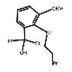 CCC(O)(CC)c1cccc(OC)c1NCC[C](C)C